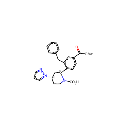 COC(=O)c1ccc([C@@H]2C[C@@H](n3cccn3)CCN2C(=O)O)c(Cc2ccccc2)c1